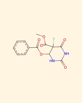 COC(=O)C1(F)C(=O)NC(=O)NC1OC(=O)c1ccccc1